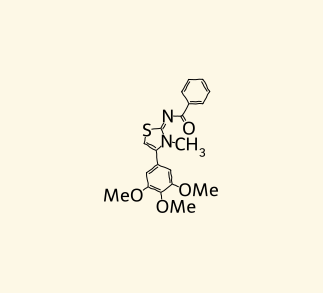 COc1cc(-c2csc(=NC(=O)c3ccccc3)n2C)cc(OC)c1OC